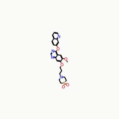 COc1cc2c(Oc3ccc4cccnc4c3)ncnc2cc1OCCCN1CCS(=O)(=O)CC1